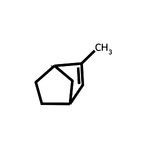 CC1=CC2CC[C]1C2